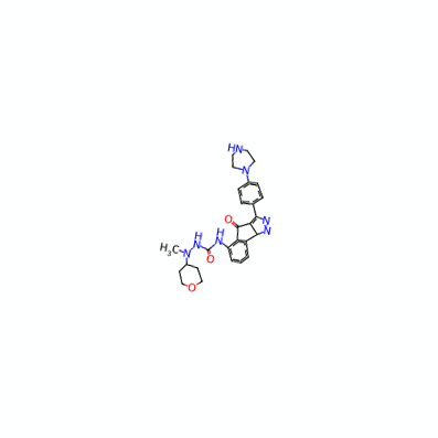 CN(NC(=O)Nc1cccc2c1C(=O)C1=C(c3ccc(N4CCNCC4)cc3)N=NC12)C1CCOCC1